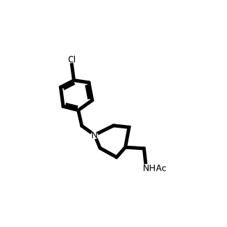 CC(=O)NCC1CCN(Cc2ccc(Cl)cc2)CC1